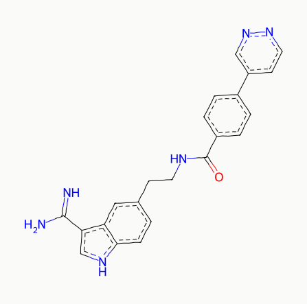 N=C(N)c1c[nH]c2ccc(CCNC(=O)c3ccc(-c4ccnnc4)cc3)cc12